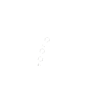 CCCCCC1CCC(c2ccc(C(=O)Nc3ccc(-c4ccc(B5OC(C)(C)C(C)(C)O5)c(C)c4)cc3)cc2)CC1